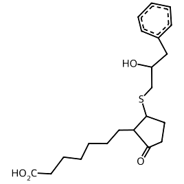 O=C(O)CCCCCCC1C(=O)CCC1SCC(O)Cc1ccccc1